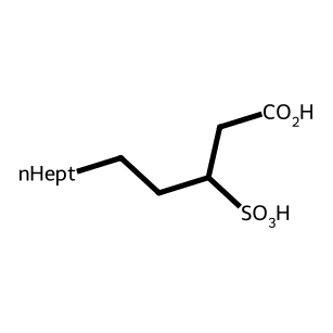 CCCCCCCCCC(CC(=O)O)S(=O)(=O)O